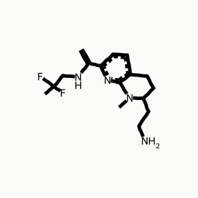 C=C(NCC(C)(F)F)c1ccc2c(n1)N(C)C(CCN)CC2